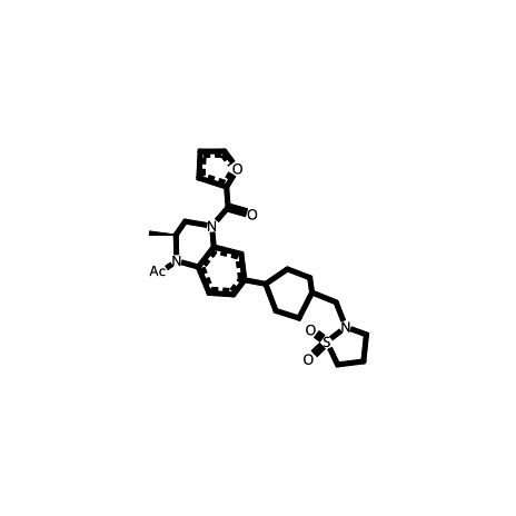 CC(=O)N1c2ccc(C3CCC(CN4CCCS4(=O)=O)CC3)cc2N(C(=O)c2ccco2)C[C@@H]1C